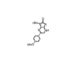 CCCCn1c2nc(-c3ccc(OC)cc3)c[nH]c-2nc1=O